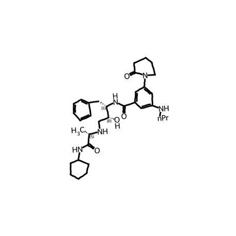 CCCNc1cc(C(=O)N[C@@H](Cc2ccccc2)[C@H](O)CN[C@@H](C)C(=O)NC2CCCCC2)cc(N2CCCCC2=O)c1